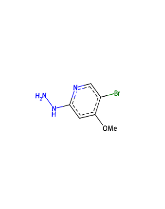 COc1cc(NN)ncc1Br